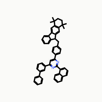 CC1(C)CCC(C)(C)c2cc3c(cc21)-c1ccccc1C3Cc1ccc(-c2cc(-c3cccc(-c4ccccc4)c3)nc(-c3cccc4ccccc34)n2)cc1